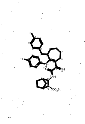 CCOC(=O)[C@H]1C2CCC(C2)[C@H]1NC(=O)C(=N)C1=C(Nc2ccc(F)cc2)C(Cc2ccc(C)cc2)CCCC1